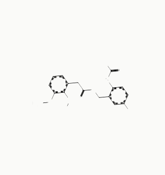 COc1cccc(CC(=O)OCc2cc(Cl)ccc2NC(C)=O)c1OC